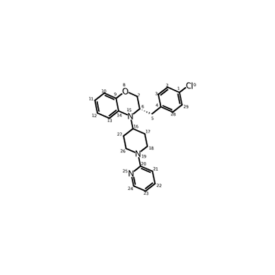 Clc1ccc(C[C@H]2COc3ccccc3N2C2CCN(c3ccccn3)CC2)cc1